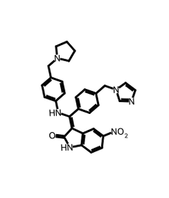 O=C1Nc2ccc([N+](=O)[O-])cc2/C1=C(/Nc1ccc(CN2CCCC2)cc1)c1ccc(Cn2ccnc2)cc1